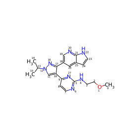 COCCNc1nccc(-c2cn(C(C)C)nc2-c2cnc3[nH]ccc3c2)n1